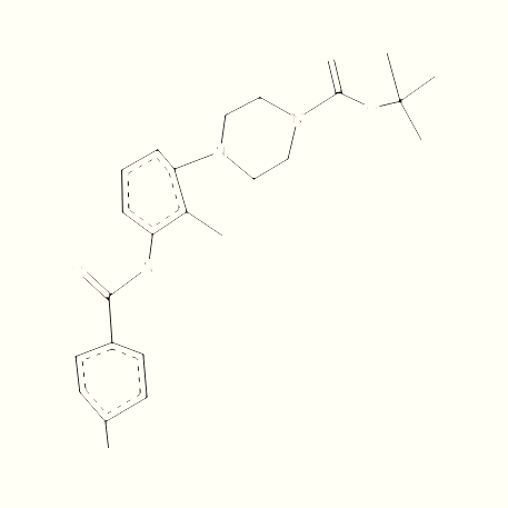 Cc1c(NC(=O)c2ccc(F)cc2)cccc1N1CCN(C(=O)OC(C)(C)C)CC1